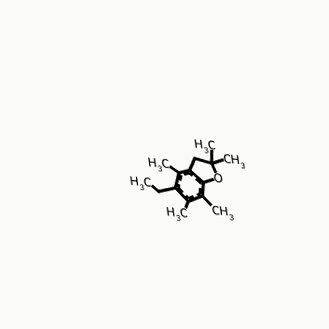 CCc1c(C)c(C)c2c(c1C)CC(C)(C)O2